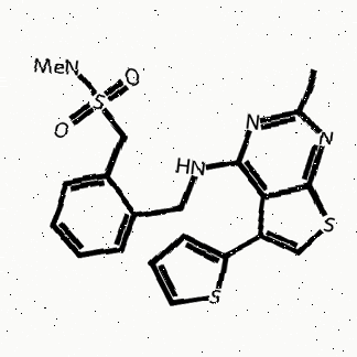 CNS(=O)(=O)Cc1ccccc1CNc1nc(C)nc2scc(-c3cccs3)c12